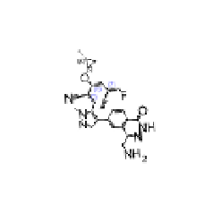 C#CC(=C\F)/C=C(O[C@H]1C[C@H]1C)\C(C#N)=C\c1c(-c2ccc3c(=O)[nH]nc(CN)c3c2)cnn1C